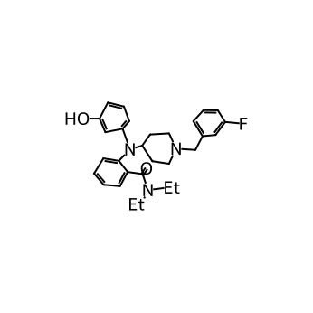 CCN(CC)C(=O)c1ccccc1N(c1cccc(O)c1)C1CCN(Cc2cccc(F)c2)CC1